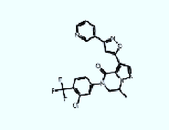 CC1CN(c2ccc(C(F)(F)F)c(Cl)c2)C(=O)c2c(-c3cc(-c4cccnc4)no3)cnn21